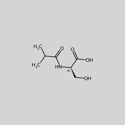 CC(C)C(=O)N[C@H](CO)C(=O)O